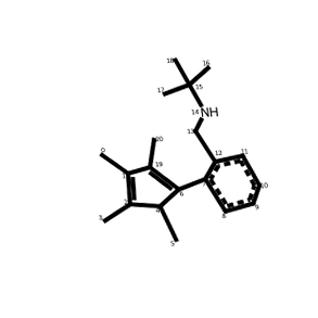 CC1=C(C)C(C)C(c2ccccc2CNC(C)(C)C)=C1C